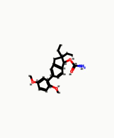 CCC1(CC)Cc2cc(-c3cc(OC)ccc3OC)ccc2C1OC(N)=O